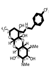 CN[C@@H]1[C@H](O)[C@H](NC)[C@H]2O[C@]3(O)[C@H](O[C@@H]2[C@H]1O)O[C@H](C)C[C@@]3(O)CNCc1ccc(C(F)(F)F)cc1